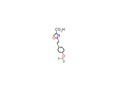 O=C(O)c1coc(/C=C/c2ccc(OC(F)F)cc2)n1